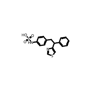 O=S(=O)(O)Nc1ccc(CC(c2ccccc2)c2cscn2)cc1